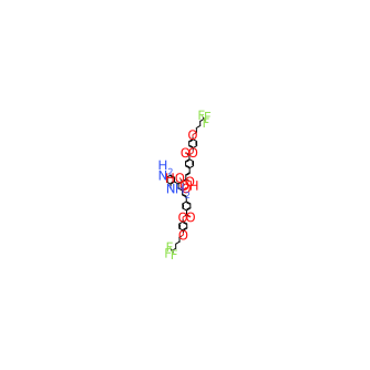 Nc1ccc(C(CC(=O)/C=C/c2ccc(C(=O)Oc3ccc(OCCCCC(F)(F)F)cc3)cc2)C(O)(O)C(=O)/C=C/c2ccc(C(=O)Oc3ccc(OCCCCC(F)(F)F)cc3)cc2)c(N)c1